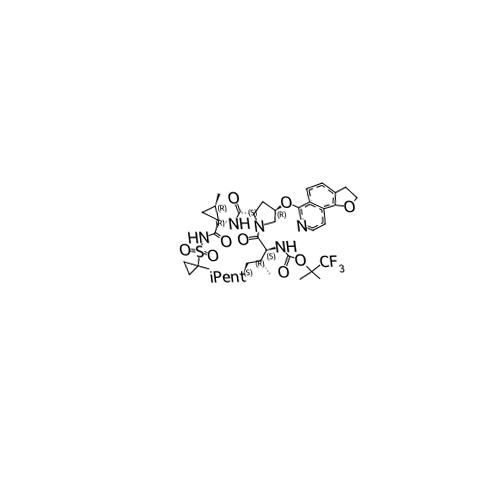 CCC[C@H](C)C[C@@H](C)[C@H](NC(=O)OC(C)(C)C(F)(F)F)C(=O)N1C[C@H](Oc2nccc3c4c(ccc23)CCO4)C[C@H]1C(=O)N[C@]1(C(=O)NS(=O)(=O)C2(C)CC2)C[C@H]1C